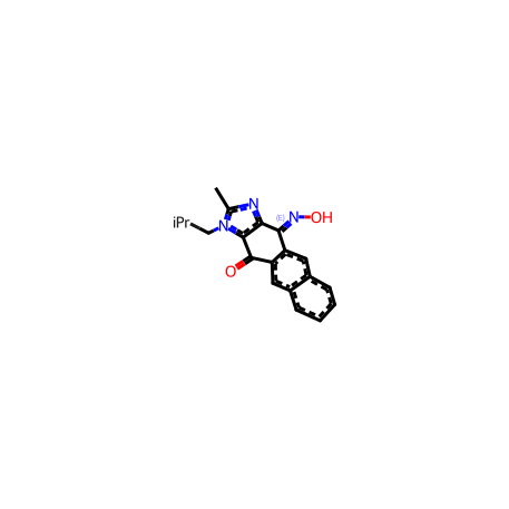 Cc1nc2c(n1CC(C)C)C(=O)c1cc3ccccc3cc1/C2=N\O